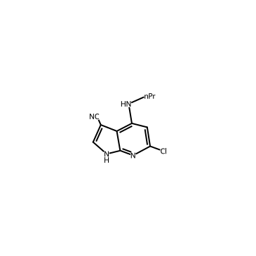 CCCNc1cc(Cl)nc2[nH]cc(C#N)c12